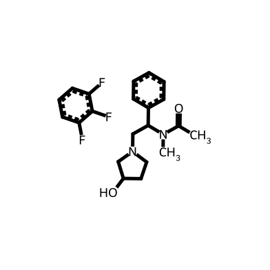 CC(=O)N(C)C(CN1CCC(O)C1)c1ccccc1.Fc1cccc(F)c1F